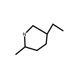 CCC1CCC(C)[N]C1